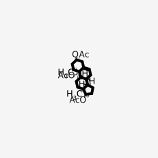 CC(=O)OC[C@]12C(=CC[C@H]3[C@@H]4CC[C@H](OC(C)=O)[C@@]4(C)CC[C@@H]31)C[C@@H](OC(C)=O)C[C@H]2C